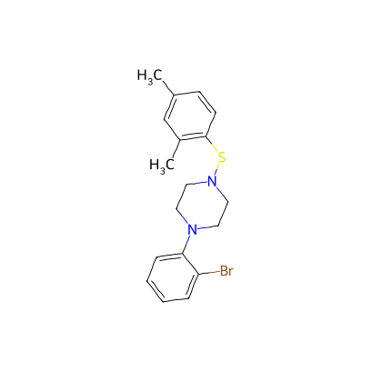 Cc1ccc(SN2CCN(c3ccccc3Br)CC2)c(C)c1